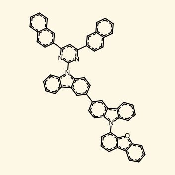 c1ccc2cc(-c3cc(-c4ccc5ccccc5c4)nc(-n4c5ccccc5c5cc(-c6ccc7c(c6)c6ccccc6n7-c6cccc7c6oc6ccccc67)ccc54)n3)ccc2c1